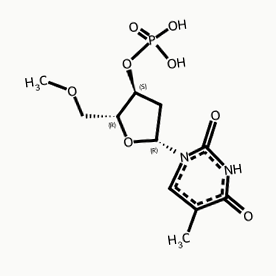 COC[C@H]1O[C@@H](n2cc(C)c(=O)[nH]c2=O)C[C@@H]1OP(=O)(O)O